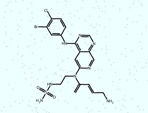 C=C(/C=C/CN)N(CCNS(N)(=O)=O)c1cc2c(Nc3ccc(Cl)c(Br)c3)ncnc2cn1